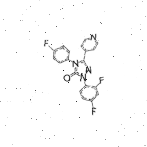 O=c1n(-c2ccc(F)cc2F)nc(-c2ccncc2)n1-c1ccc(F)cc1